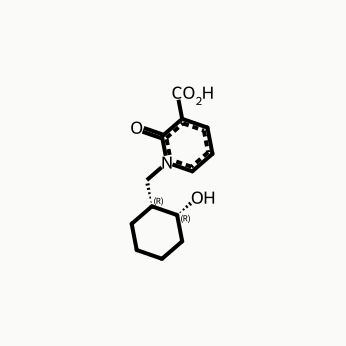 O=C(O)c1cccn(C[C@H]2CCCC[C@H]2O)c1=O